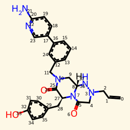 C=CCN1CC(=O)N2[C@H](CN(Cc3cccc(-c4ccc(N)nc4)c3)C(=O)[C@@H]2Cc2ccc(O)cc2)N1